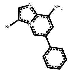 Nc1cc(-c2ccccc2)cn2c(Br)cnc12